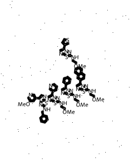 COCCNc1nn2c(-c3ccc4ccccc4c3)cnc2s1.COCCNc1nn2c(-c3ccccc3)cnc2s1.COCCNc1nn2c(-c3cccnc3)cnc2s1.COCCNc1nn2c(-c3ccsc3)cnc2s1.COc1cncc(-c2cnc3sc(NCc4ccccc4)nn23)c1